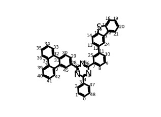 c1ccc(-c2nc(-c3cccc(-c4ccc5sc6ccccc6c5c4)c3)nc(-c3ccc4c5ccccc5c5ccccc5c4c3)n2)cc1